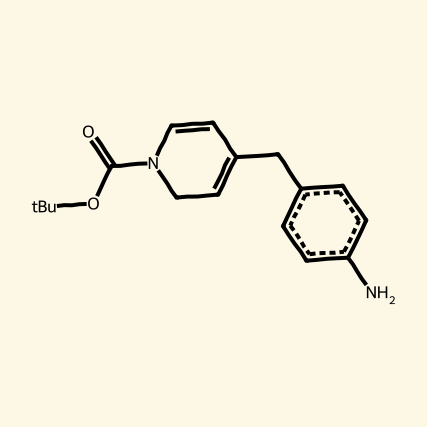 CC(C)(C)OC(=O)N1C=CC(Cc2ccc(N)cc2)=CC1